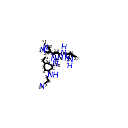 CCC1CCC(NCCC#N)CC(N(C)c2nc(Nc3cc(C)[nH]n3)cc(-c3cnn(C)c3)n2)C1